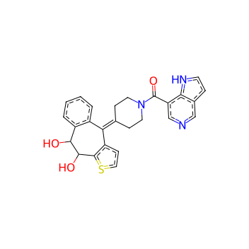 O=C(c1cncc2cc[nH]c12)N1CCC(=C2c3ccccc3C(O)C(O)c3sccc32)CC1